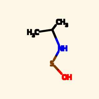 CC(C)NSO